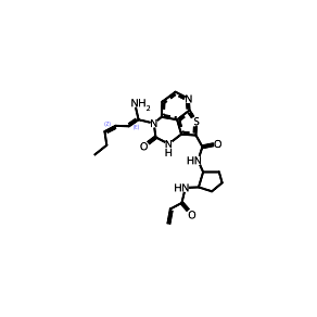 C=CC(=O)NC1CCCC1NC(=O)c1sc2nccc3c2c1NC(=O)N3/C(N)=C/C=C\CC